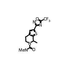 CNC(=O)N1CCc2cc(-c3noc(C(F)(F)F)n3)sc2C1C